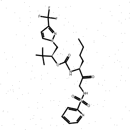 CCCC[C@H](NC(=O)O[C@H](Cn1ccc(C(F)(F)F)n1)C(C)(C)C)C(=O)CNS(=O)(=O)c1ccccn1